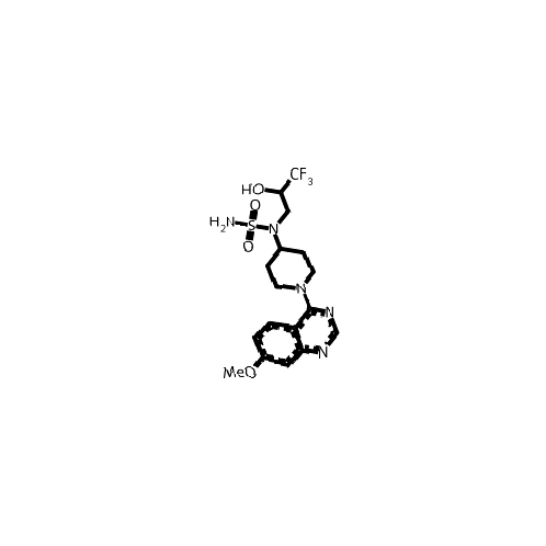 COc1ccc2c(N3CCC(N(CC(O)C(F)(F)F)S(N)(=O)=O)CC3)ncnc2c1